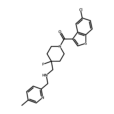 Cc1ccc(CNCC2(F)CCN(C(=O)c3csc4ccc(Cl)cc34)CC2)nc1